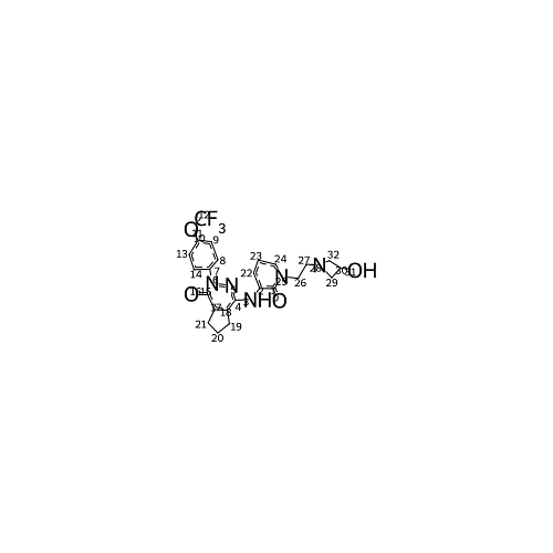 O=c1c(Nc2nn(-c3ccc(OC(F)(F)F)cc3)c(=O)c3c2CCC3)cccn1CCN1CC(O)C1